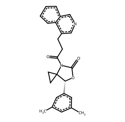 Cc1cc(C)cc([C@H]2OC(=O)N(C(=O)CCc3cncc4ccccc34)C23CC3)c1